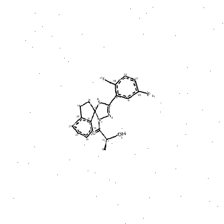 C[C@H](O)C(=O)N1N=C(c2cc(F)ccc2F)SC12CCc1ccccc12